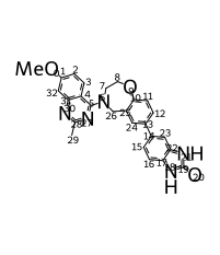 COc1ccc2c(N3CCOc4ccc(-c5ccc6[nH]c(=O)[nH]c6c5)cc4C3)nc(C)nc2c1